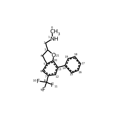 CNCC1Cc2cc(C(F)(F)F)cc(-c3ccccc3)c2O1